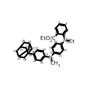 CCOC(=O)c1ccccc1N(CC)c1ccc(N(C)c2ccc(C34CC5CC(CC(C5)C3)C4)cc2)cc1